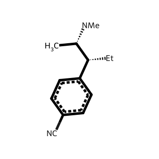 CC[C@H](c1ccc(C#N)cc1)[C@H](C)NC